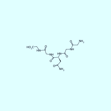 NCC(=O)NCC(=O)N[C@@H](CC(N)=O)C(=O)NCC(=O)NCC(=O)O